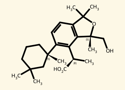 C[C@@H](C(=O)O)c1c([C@@]2(C)CCCC(C)(C)C2)ccc2c1[C@@](C)(CO)OC2(C)C